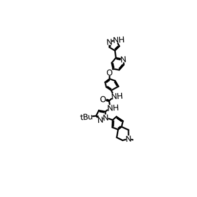 CN1CCc2cc(-n3nc(C(C)(C)C)cc3NC(=O)Nc3ccc(Oc4ccnc(-c5cn[nH]c5)c4)cc3)ccc2C1